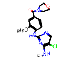 CCNc1nc(Nc2ccc(C(=O)N3CCOCC3)cc2OC)ncc1Cl